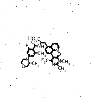 Cc1cc(N2CCOC[C@@H]2C(F)(F)F)cc(F)c1C(=O)N[C@@H](Cc1ccc(-c2c(C(F)(F)F)nc(C)n(C)c2=O)c2ncccc12)C(=O)O